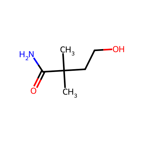 CC(C)(CCO)C(N)=O